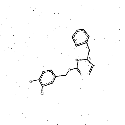 O=[C][C@H](Cc1ccccc1)NC(=O)OCc1ccc(Cl)c(Cl)c1